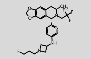 C[C@@H]1Cc2cc3c(cc2[C@@H](c2ccc(NC4CN(CCCF)C4)cn2)N1CC(F)(F)F)OCO3